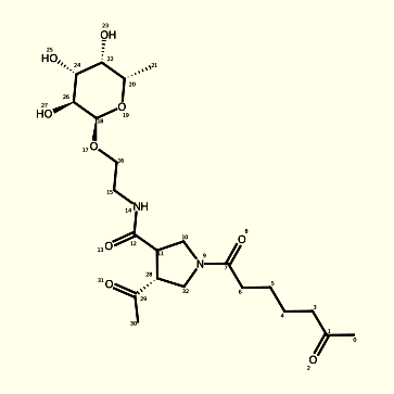 CC(=O)CCCCC(=O)N1CC(C(=O)NCCO[C@@H]2O[C@@H](C)[C@@H](O)[C@@H](O)[C@@H]2O)[C@@H](C(C)=O)C1